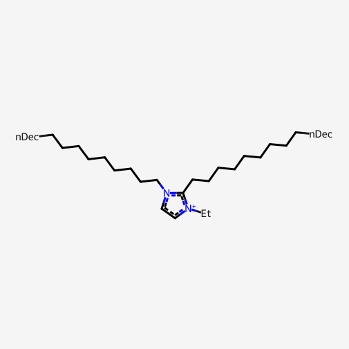 CCCCCCCCCCCCCCCCCCCc1n(CCCCCCCCCCCCCCCCCCC)cc[n+]1CC